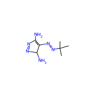 CC(C)(C)N=NC1=C(N)N=NC1N